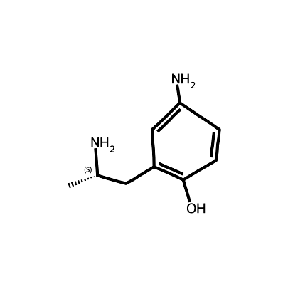 C[C@H](N)Cc1cc(N)ccc1O